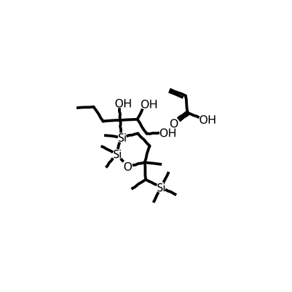 C=CC(=O)O.CCCC(O)(C(O)CO)[Si]1(C)CCC(C)(C(C)[Si](C)(C)C)O[Si]1(C)C